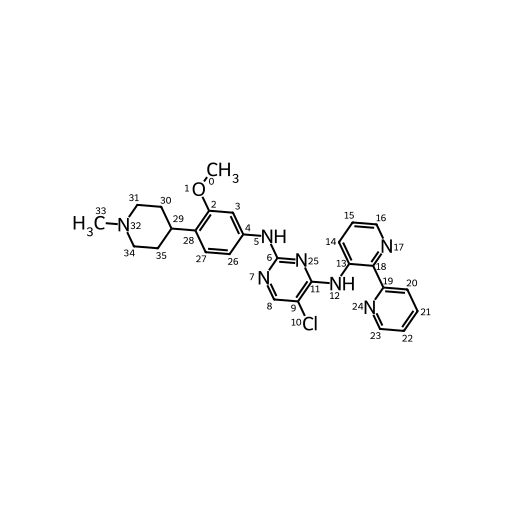 COc1cc(Nc2ncc(Cl)c(Nc3cccnc3-c3ccccn3)n2)ccc1C1CCN(C)CC1